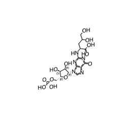 O=C(O)C(CC(O)CO)Nc1nc2c(ncn2[C@@H]2O[C@H](COP(=O)(O)O)[C@@H](O)[C@H]2O)c(=O)[nH]1